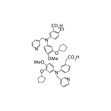 CCc1ccc(N(Cc2cccnc2)c2ccc(OC)c(OC3CCCC3)c2)cc1C(=O)O.COc1ccc(N(Cc2cccnc2)c2cccc(CC(=O)O)c2)cc1OC1CCCC1